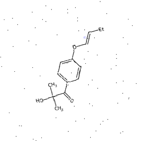 CC/C=C/Oc1ccc(C(=O)C(C)(C)O)cc1